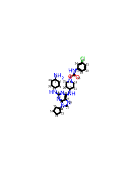 N[C@H]1CC[C@H](Nc2nc(NC3CCN(OC(=O)Nc4cccc(Cl)c4)CC3)c3ncn(C4CCCC4)c3n2)CC1